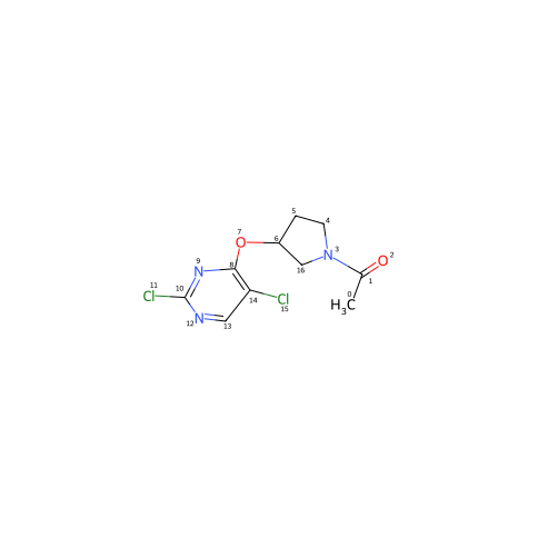 CC(=O)N1CCC(Oc2nc(Cl)ncc2Cl)C1